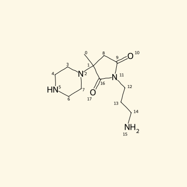 CC1(N2CCNCC2)CC(=O)N(CCCN)C1=O